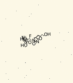 [N-]=[N+]=N[C@]1(CO)O[C@@H](n2cc3cc(CCO)oc3nc2=O)[C@@H](F)C1O